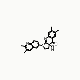 Cc1cc2c(cc1C)C(=O)[C@]1(O)CCN(c3ccc4nc(C)c(C)cc4c3)C1=N2